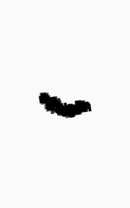 C[C@@H](CN1CCN(S(=O)(=O)c2ccc3[nH]c(=O)cnc3c2)CC1)Nc1ncnc2c(-c3cccnc3)cccc12